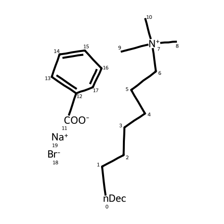 CCCCCCCCCCCCCCCC[N+](C)(C)C.O=C([O-])c1ccccc1.[Br-].[Na+]